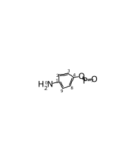 Nc1ccc(OP=O)cc1